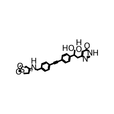 O=c1[nH]cnc(CC(CO)c2ccc(C#Cc3ccc(CN[C@H]4CCS(=O)(=O)C4)cc3)cc2)c1O